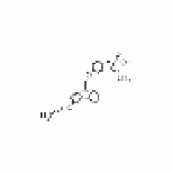 CCCCOc1ccc2c(c1)-c1ccccc1C2=CCOc1ccc(CC(OCC)C(=O)O)cc1